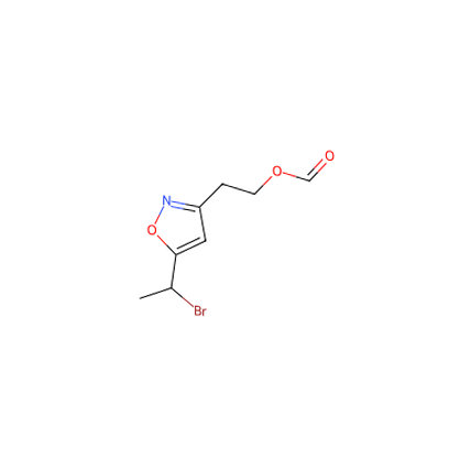 CC(Br)c1cc(CCOC=O)no1